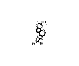 CC(C)NC(=N)c1nc2c(s1)CCOc1cc(O[C@H](C)C(N)=O)ccc1-2